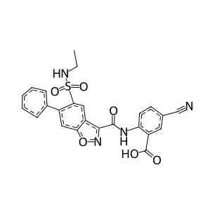 CCNS(=O)(=O)c1cc2c(C(=O)Nc3ccc(C#N)cc3C(=O)O)noc2cc1-c1ccccc1